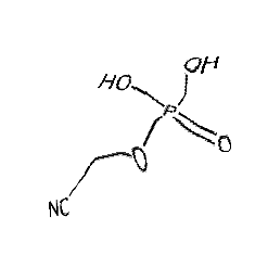 N#CCOP(=O)(O)O